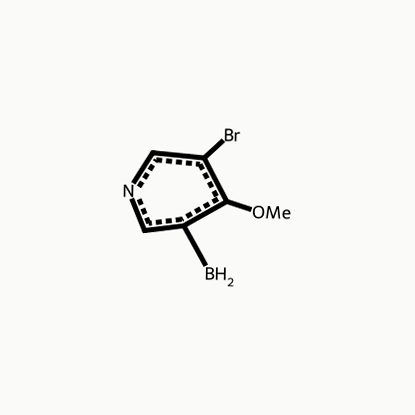 Bc1cncc(Br)c1OC